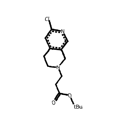 CC(C)(C)OC(=O)CCN1CCc2cc(Cl)ncc2C1